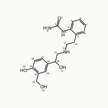 NC(=O)Nc1ccccc1CCNCC(O)c1ccc(O)c(CO)c1